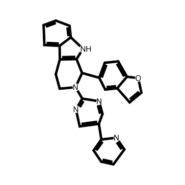 c1ccc(-c2cnc(N3CCc4c([nH]c5ccccc45)C3c3ccc4occc4c3)nc2)nc1